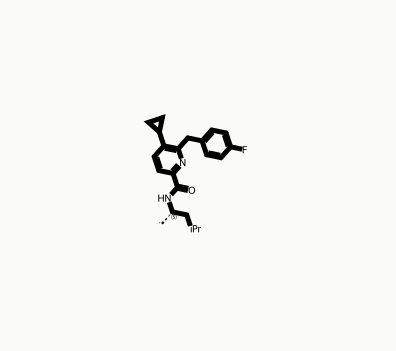 [CH2]C(C)C[C@H]([CH2])NC(=O)c1ccc(C2CC2)c(Cc2ccc(F)cc2)n1